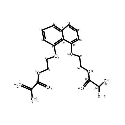 C=C(C)C(=O)OCCOc1cccc2cccc(OCCOC(=O)C(C)C)c12